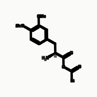 CCC(=O)OC(=O)[C@@H](N)Cc1ccc(OC)c(OC)c1